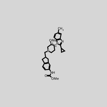 COC(=O)Nc1ccc2c(c1)CC(CN1CC[C@@H](n3c(C4CC4)nc4cc(C)ccc43)[C@H](OC)C1)C2